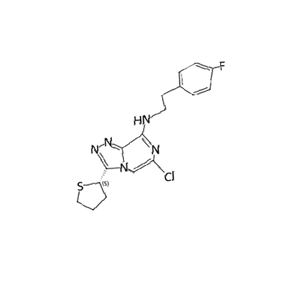 Fc1ccc(CCNc2nc(Cl)cn3c([C@@H]4CCCS4)nnc23)cc1